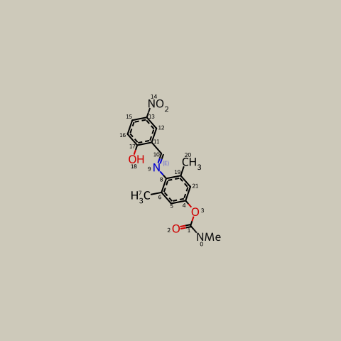 CNC(=O)Oc1cc(C)c(/N=C/c2cc([N+](=O)[O-])ccc2O)c(C)c1